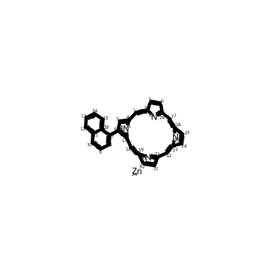 C1=Cc2cc3cc(-c4cccc5ccccc45)c(cc4nc(cc5ccc(cc1n2)[nH]5)C=C4)[nH]3.[Zn]